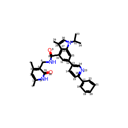 Cc1cc(C)c(CNC(=O)c2cc(-c3ccc(-c4ccccc4)nc3)cc3c2c(C)cn3C(C)C)c(=O)[nH]1